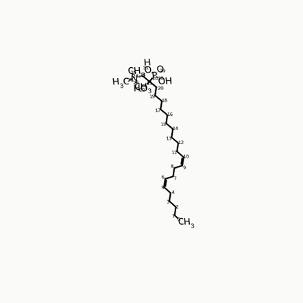 CCCCC/C=C\CC/C=C\CCCCCCCCCCC(O)(C[N+](C)(C)C)P(=O)(O)O